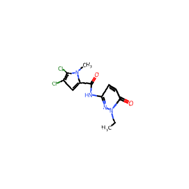 CCn1nc(NC(=O)c2cc(Cl)c(Cl)n2C)ccc1=O